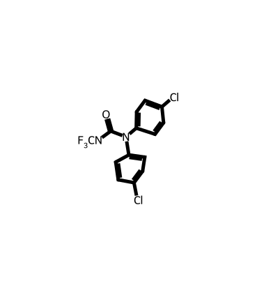 O=C(NC(F)(F)F)N(c1ccc(Cl)cc1)c1ccc(Cl)cc1